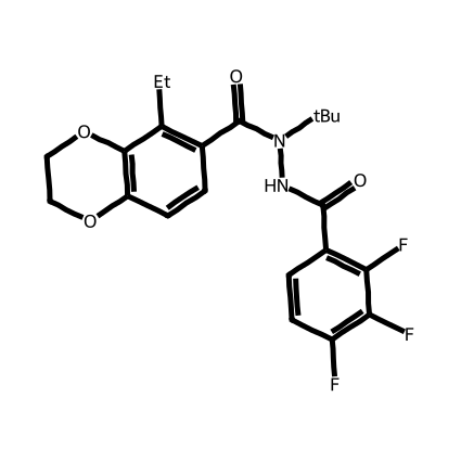 CCc1c(C(=O)N(NC(=O)c2ccc(F)c(F)c2F)C(C)(C)C)ccc2c1OCCO2